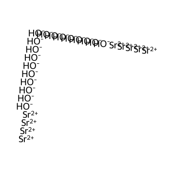 [OH-].[OH-].[OH-].[OH-].[OH-].[OH-].[OH-].[OH-].[OH-].[OH-].[OH-].[OH-].[OH-].[OH-].[OH-].[OH-].[OH-].[OH-].[Sr+2].[Sr+2].[Sr+2].[Sr+2].[Sr+2].[Sr+2].[Sr+2].[Sr+2].[Sr+2]